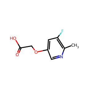 Cc1ncc(OCC(=O)O)cc1F